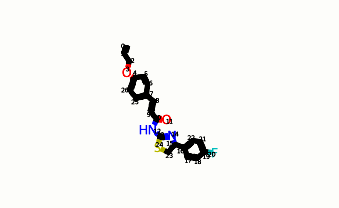 C=CCOc1ccc(/C=C/C(=O)NC2=NC(c3ccc(F)cc3)CS2)cc1